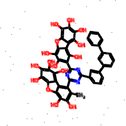 Bc1c(O)c(O)c2oc3c(O)c(O)c(O)c(O)c3c2c1-c1nc(-c2cccc(-c3cccc(-c4ccccc4)c3)c2)nc(-c2c(O)c(O)c3oc4c(O)c(O)c(O)c(O)c4c3c2O)n1